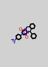 CN(C)c1ccc(-n2c(=O)n3n(c2=O)C2(c4ccccc4)c4ccccc4C3c3ccccc32)cc1